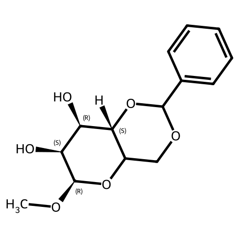 CO[C@@H]1OC2COC(c3ccccc3)O[C@H]2[C@H](O)[C@@H]1O